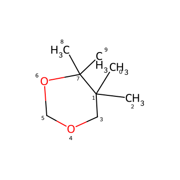 CC1(C)COCOC1(C)C